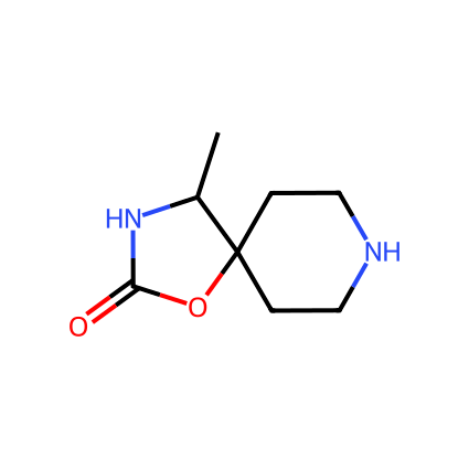 CC1NC(=O)OC12CCNCC2